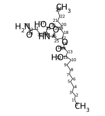 CCCCCCCCCCCC(O)CC(=O)OC(CCCCCCC)CC(=O)NC(CCC(N)=O)C(=O)O